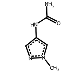 Cn1cc(NC(N)=O)cn1